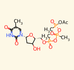 CC(=O)OP(C)(=O)OP(C)(=O)OP(C)(=O)OC[C@H]1O[C@@H](n2cc(C)c(=O)[nH]c2=O)CC1O